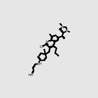 C=C(C1=CN(C)CN1C)c1cc(C)c2nc(Cl)c(CC3(C)C=CC(N/C=C\C=N)=CC3)c(CCC)c2c1